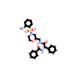 N#Cc1ccccc1S(=O)(=O)N1CCOC(CNC(=O)[C@@H](NC(=O)c2ccccc2)c2ccccc2)C1